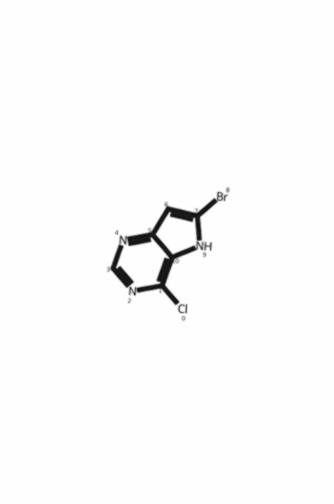 Clc1ncnc2cc(Br)[nH]c12